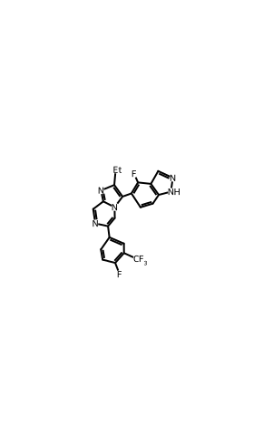 CCc1nc2cnc(-c3ccc(F)c(C(F)(F)F)c3)cn2c1-c1ccc2[nH]ncc2c1F